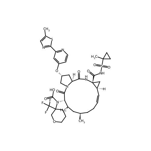 Cc1cnc(-c2cc(O[C@@H]3C[C@H]4C(=O)N[C@]5(C(=O)NS(=O)(=O)C6(C)CC6)C[C@H]5C=CCC[C@@H](C)C[C@@H](C)[C@H](N(C(=O)O)C5(C(F)(F)F)CCCOC5)C(=O)N4C3)ccn2)s1